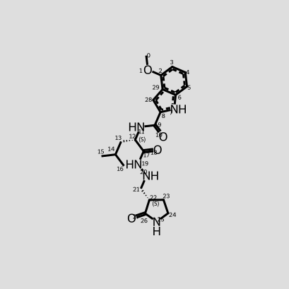 COc1cccc2[nH]c(C(=O)N[C@@H](CC(C)C)C(=O)NNC[C@@H]3CCNC3=O)cc12